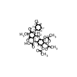 CC(=O)Oc1cc(N(C(=O)O)c2c(N)n(-c3cccc(Cl)c3)c(=O)n(C)c2=O)cc(OC(C)=O)c1OC(C)=O